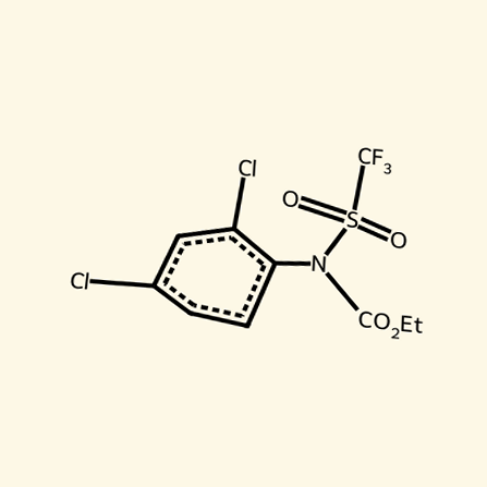 CCOC(=O)N(c1ccc(Cl)cc1Cl)S(=O)(=O)C(F)(F)F